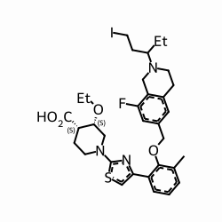 CCO[C@@H]1CN(c2nc(-c3cccc(C)c3OCc3cc(F)c4c(c3)CCN(C(CC)CCI)C4)cs2)CC[C@@H]1C(=O)O